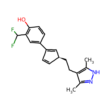 Cc1n[nH]c(C)c1CC[C@H]1C=CC(c2ccc(O)c(C(F)F)c2)=C1